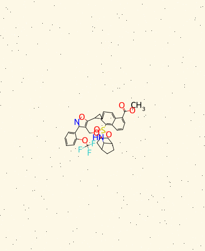 COC(=O)c1cccc2c(S(=O)(=O)NC3C4CCC3CC(OCc3c(-c5ccccc5OC(F)(F)F)noc3C3CC3)C4)cccc12